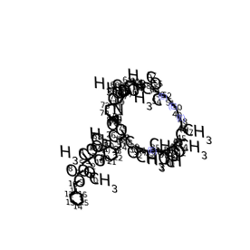 COCC(C)(COC(=O)OCc1ccccc1)C(=O)O[C@@H]1CCC(C[C@@H](C)[C@@H]2CC(=O)[C@H](C)/C=C(\C)[C@@H](O)[C@@H](OC)C(=O)[C@H](C)C[C@H](C)/C=C/C=C/C=C(\C)[C@@H](OC)C[C@@H]3CC[C@@H](C)[C@@](O)(O3)C(=O)C(=O)N3CCCC[C@H]3C(=O)O2)C[C@H]1OC